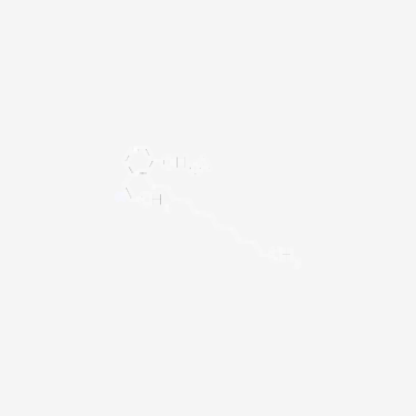 C/C=C\c1cccc(O)c1CCCCCCCCCCCC.C1CO1